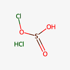 Cl.O=S(O)OCl